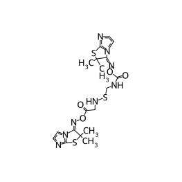 CC1(C)Sc2nccn2C1=NOC(=O)CNSCNC(=O)ON=C1n2ccnc2SC1(C)C